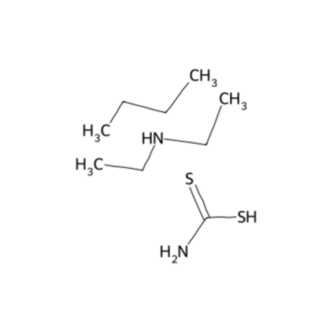 CCCC.CCNCC.NC(=S)S